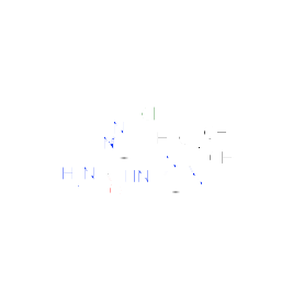 CC(C)(C)c1nccc(Nc2cc(Cl)nnc2C(N)=O)n1